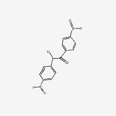 O=C(c1ccc([N+](=O)[O-])cc1)C(Cl)c1ccc([N+](=O)[O-])cc1